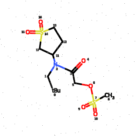 CC(C)(C)CN(C(=O)COS(C)(=O)=O)C1CCS(=O)(=O)C1